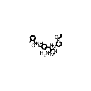 C=CC(=O)N1CCCC(n2nc(-c3ccc(CNC(=O)c4ccccc4C)cc3)c3c(N)ncnc32)C1